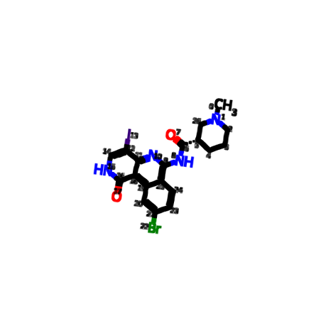 CN1CCC[C@H](C(=O)Nc2nc3c(I)c[nH]c(=O)c3c3cc(Br)ccc23)C1